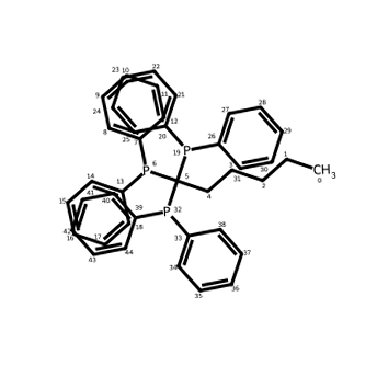 CCCCCC(P(c1ccccc1)c1ccccc1)(P(c1ccccc1)c1ccccc1)P(c1ccccc1)c1ccccc1